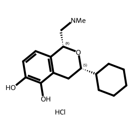 CNC[C@@H]1O[C@H](C2CCCCC2)Cc2c1ccc(O)c2O.Cl